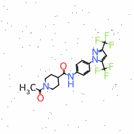 CC(=O)N1CCC(C(=O)Nc2ccc(-n3nc(C(F)(F)F)cc3C(F)(F)F)cc2)CC1